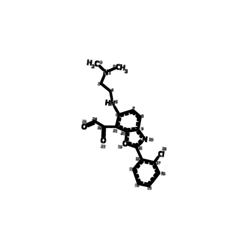 CN(C)CCNc1ccc2nc(-c3ccccc3Cl)oc2c1C(=O)C=O